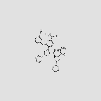 CNC(=O)C1CC(c2ccccc2)CN1C(=O)[C@@H]1C[C@H](c2ccccc2)CN1C(=O)C(Cc1cccc(C#N)c1)NC(=O)C(C)N